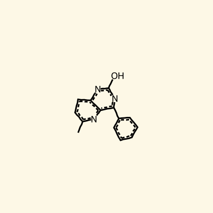 Cc1ccc2nc(O)nc(-c3ccccc3)c2n1